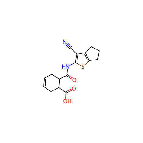 N#Cc1c(NC(=O)C2CC=CCC2C(=O)O)sc2c1CCC2